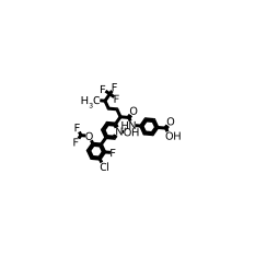 CC(CCC(C(=O)Nc1ccc(C(=O)O)cc1)c1ccc(-c2c(OC(F)F)ccc(Cl)c2F)c[n+]1O)C(F)(F)F